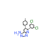 Cc1ccc(-c2cc3c(N)ncnc3nc2-c2cc(Cl)cc(Cl)c2)cc1